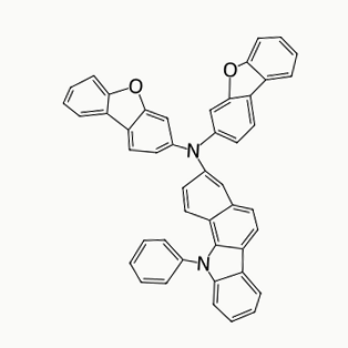 c1ccc(-n2c3ccccc3c3ccc4cc(N(c5ccc6c(c5)oc5ccccc56)c5ccc6c(c5)oc5ccccc56)ccc4c32)cc1